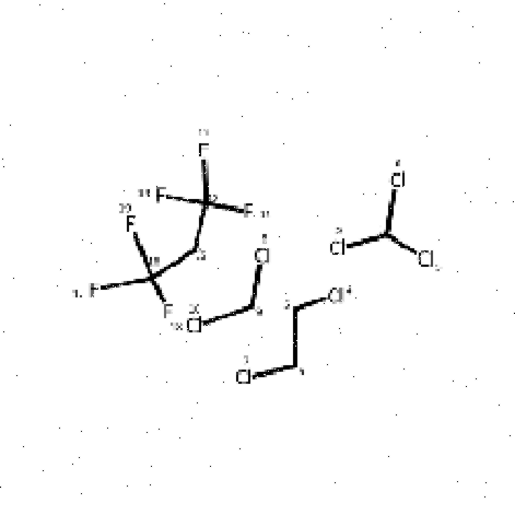 ClC(Cl)Cl.ClCCCl.ClCCl.FC(F)(F)[CH]C(F)(F)F